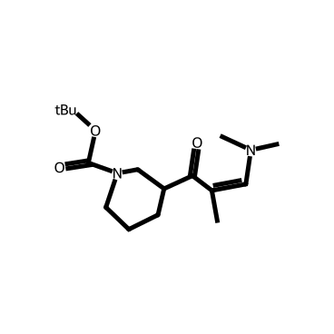 C/C(=C/N(C)C)C(=O)C1CCCN(C(=O)OC(C)(C)C)C1